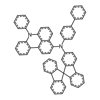 c1ccc(-c2ccc(N(c3ccc4c(c3)C3(c5ccccc5-c5ccccc53)c3ccccc3-4)c3ccc4c5c(cccc35)N(c3ccccc3)c3ccccc3-4)cc2)cc1